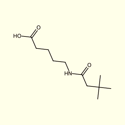 CC(C)(C)CC(=O)NCCCCC(=O)O